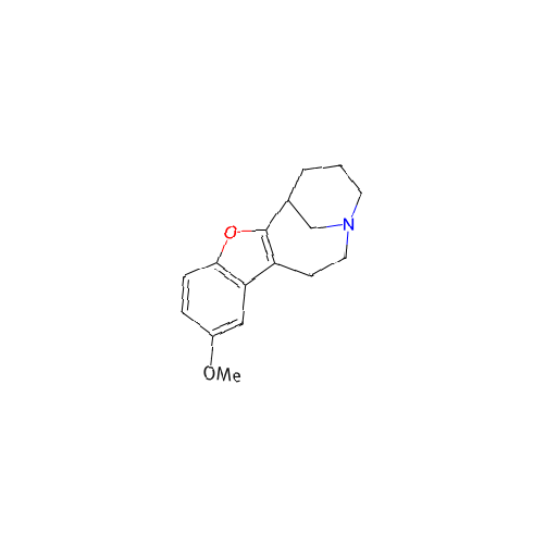 COc1ccc2oc3c(c2c1)CCN1CCCC3C1